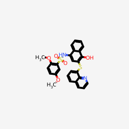 COc1ccc(OC)c(S(=O)(=O)Nc2cc(Sc3cccc4cccnc34)c(O)c3ccccc23)c1